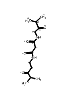 CC(C)C(=O)CCNC(=O)CC(=O)NCC(=O)C(C)C